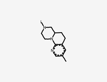 Cc1cnc2c(c1)CCC1CN(I)CCN21